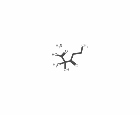 CCCC(=O)C(C)(O)C(=O)O.S